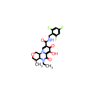 CCN1C(=O)c2c(O)c(=O)c(C(=O)NCc3c(F)cc(F)cc3F)cn2C2COC[C@@H](C)C21